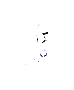 C=C1C=C(n2ncc(CN3CCNCC3)n2)C=CN1C(F)F